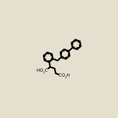 O=C(O)CCC(C(=O)O)c1ccccc1Cc1ccc(-c2ccccc2)cc1